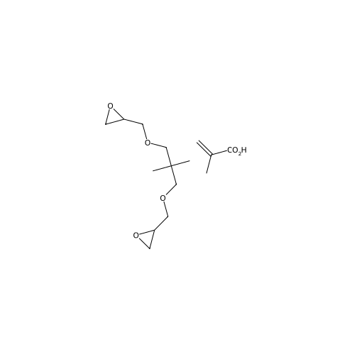 C=C(C)C(=O)O.CC(C)(COCC1CO1)COCC1CO1